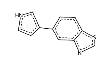 c1cc(-c2ccc3scnc3c2)c[nH]1